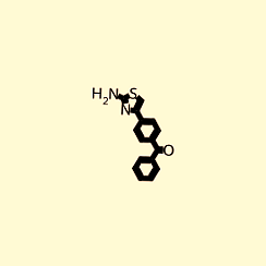 Nc1nc(-c2ccc(C(=O)c3ccccc3)cc2)cs1